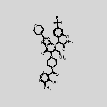 CCc1c(N2CCN(C(=O)c3ncnc(C)c3O)CC2)c(=O)n2nc(C3=CCOCC3)nc2n1C(C(N)=O)c1ccc(C(F)(F)F)cc1Cl